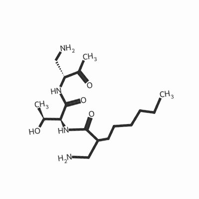 CCCCCCC(CN)C(=O)N[C@H](C(=O)N[C@H](CN)C(C)=O)[C@H](C)O